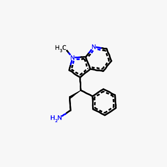 Cn1cc([C@H](CCN)c2ccccc2)c2cccnc21